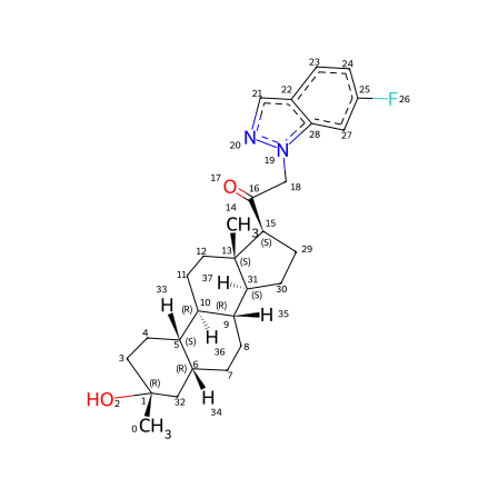 C[C@@]1(O)CC[C@H]2[C@H](CC[C@@H]3[C@@H]2CC[C@]2(C)[C@@H](C(=O)Cn4ncc5ccc(F)cc54)CC[C@@H]32)C1